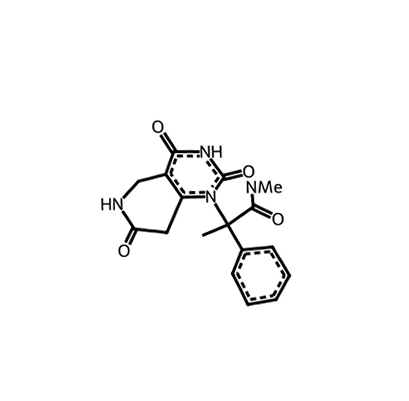 CNC(=O)C(C)(c1ccccc1)n1c2c(c(=O)[nH]c1=O)CNC(=O)C2